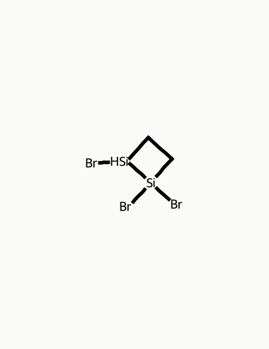 Br[SiH]1CC[Si]1(Br)Br